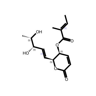 C/C=C(\C)C(=O)O[C@H]1C=CC(=O)O[C@H]1/C=C/[C@H](O)[C@H](C)O